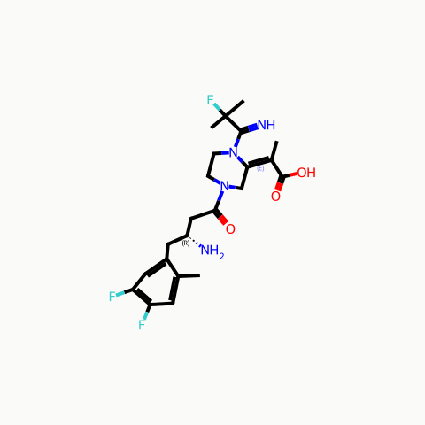 C/C(C(=O)O)=C1/CN(C(=O)C[C@H](N)Cc2cc(F)c(F)cc2C)CCN1C(=N)C(C)(C)F